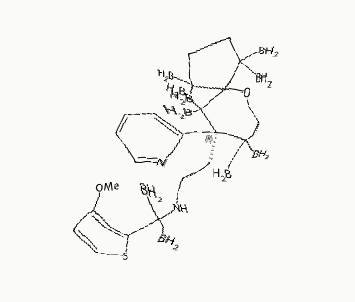 BC(B)(NCC[C@@]1(c2ccccn2)C(B)(B)COC2(C(B)(B)CCC2(B)B)C1(B)B)c1sccc1OC